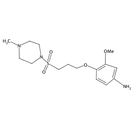 COc1cc(N)ccc1OCCCS(=O)(=O)N1CCN(C)CC1